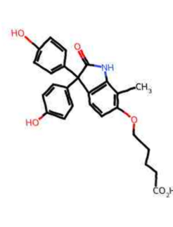 Cc1c(OCCCCC(=O)O)ccc2c1NC(=O)C2(c1ccc(O)cc1)c1ccc(O)cc1